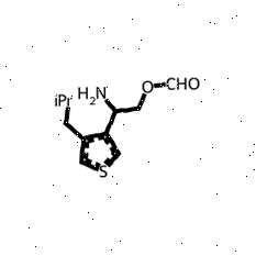 CC(C)Cc1cscc1C(N)COC=O